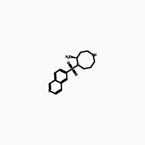 C[C@H]1CCNCCCN1S(=O)(=O)c1ccc2cnccc2c1